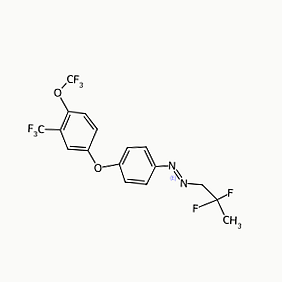 CC(F)(F)C/N=N/c1ccc(Oc2ccc(OC(F)(F)F)c(C(F)(F)F)c2)cc1